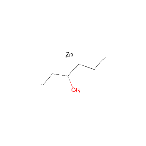 [CH2]CC(O)CCC.[Zn]